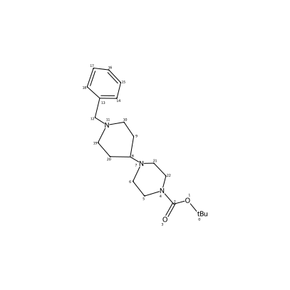 CC(C)(C)OC(=O)N1CCN(C2CCN(Cc3ccccc3)CC2)CC1